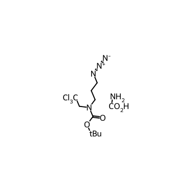 CC(C)(C)OC(=O)N(CCCN=[N+]=[N-])CC(Cl)(Cl)Cl.NC(=O)O